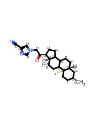 C[C@H]1CC[C@]2(F)C3CC[C@@]4(C)C(CC[C@@H]4C(=O)Cn4cnc(C#N)c4)C3CC[C@@H]2C1